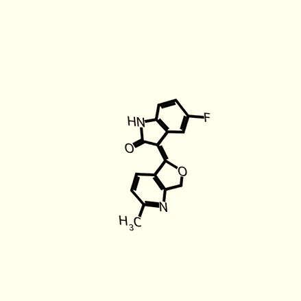 Cc1ccc2c(n1)COC2=C1C(=O)Nc2ccc(F)cc21